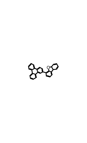 C1=CC2Oc3c(-c4ccc5c6ccccc6c6ccccc6c5c4)cccc3C2C=C1